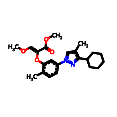 CO/C=C(\Oc1cc(-n2cc(C)c(C3CCCCC3)n2)ccc1C)C(=O)OC